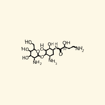 NCC[C@H](O)C(=O)NC1CC(N)C(OC2OC(CO)C(O)C(O)C2N)C(O)C1O